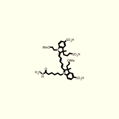 COCCN1/C(=C/C=C/C=C/C2=[N+](CCCCCC(=O)NN)c3ccc(S(=O)(=O)O)cc3C2(C)CCOC)C(C)(CCCS(=O)(=O)O)c2cc(S(=O)(=O)O)ccc21